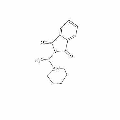 CC(N1C(=O)c2ccccc2C1=O)[SiH]1CCCCC1